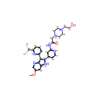 COc1cnc2c(-c3cccc(C(F)F)n3)c(-c3ccnc(NC(=O)CN4CCN(CCO)CC4)c3)[nH]c2c1